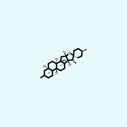 CC1CC[C@@]2(C)[C@H](CC[C@@H]3[C@@H]2CC[C@]2(C)[C@@H]4[C@H](C[C@@H]32)O[C@]2(CC[C@H](C)CC2)[C@H]4C)C1